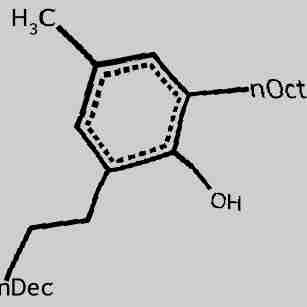 CCCCCCCCCCCCc1cc(C)cc(CCCCCCCC)c1O